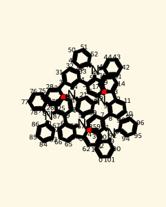 C1=CC2c3cccc(-c4cccc5c6ccccc6n(-c6cc(-n7c8ccccc8c8cccc(-c9cccc%10c%11ccccc%11n(-c%11ccccc%11)c9%10)c87)cc(-n7c8ccccc8c8cccc(-c9cccc%10c%11ccccc%11n(-c%11ccccc%11)c9%10)c87)c6)c45)c3N(c3ccccc3)C2C=C1